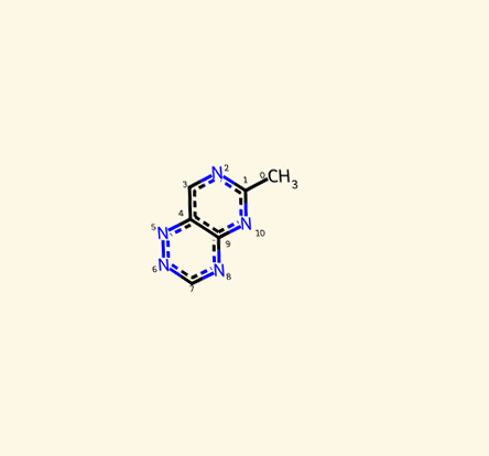 Cc1ncc2nncnc2n1